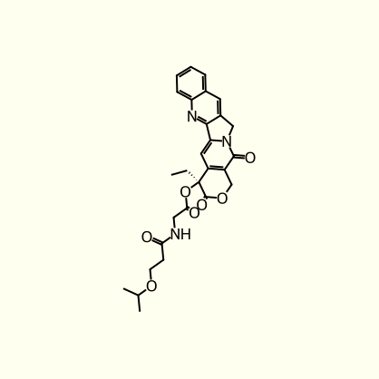 CC[C@@]1(OC(=O)CNC(=O)CCOC(C)C)C(=O)OCc2c1cc1n(c2=O)Cc2cc3ccccc3nc2-1